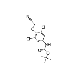 CC(C)(C)OC(=O)Nc1cc(Cl)c(OCC#N)c(Cl)c1